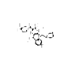 Cc1nc(NCCN2CCCC2)c(C(C)c2ccc(F)cc2)nc1C(=O)N1CCC(F)(F)C1